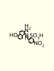 Nc1ccc2c(O)cccc2c1N=Nc1ccc([N+](=O)[O-])cc1S(=O)(=O)O